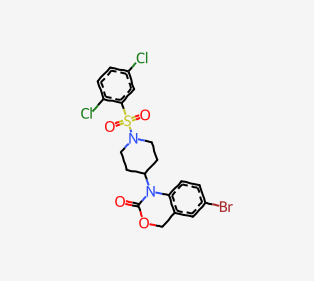 O=C1OCc2cc(Br)ccc2N1C1CCN(S(=O)(=O)c2cc(Cl)ccc2Cl)CC1